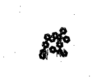 c1ccc(-c2nc3ccccn3c2-c2ccc(-n3c(-c4ccccc4)c(-c4ccccc4)c4ccc5c6cccc(-c7ccc(-c8cn9cccnc9n8)cc7)c6ccc5c43)cc2)cc1